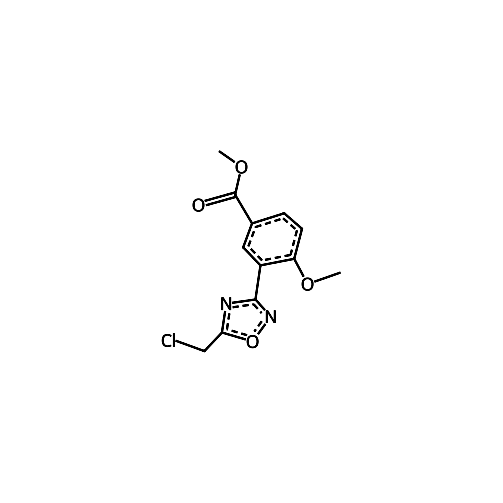 COC(=O)c1ccc(OC)c(-c2noc(CCl)n2)c1